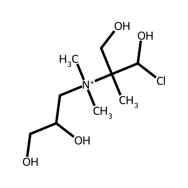 CC(CO)(C(O)Cl)[N+](C)(C)CC(O)CO